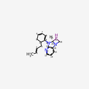 CC=CCC1CC=CC=C1N1c2ncccc2N2CP[C@@H]21